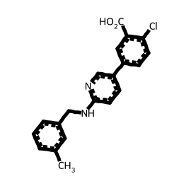 Cc1cccc(CNc2ccc(-c3ccc(Cl)c(C(=O)O)c3)cn2)c1